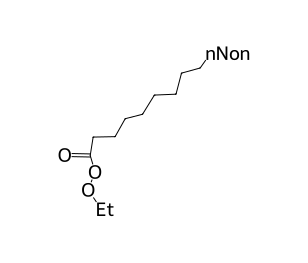 CCCCCCCCCCCCCCCCCC(=O)OOCC